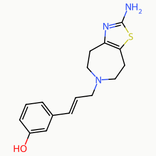 Nc1nc2c(s1)CCN(CC=Cc1cccc(O)c1)CC2